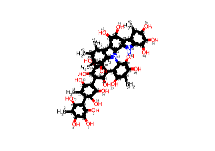 Bc1c(O)c(O)c(O)c(-c2c(B)c(O)c(-c3c(O)c(O)c(B)c(-c4c(O)c(B)c(O)c(O)c4-n4c5c(O)c(B)c(B)c(B)c5c5c(O)c(O)c6c([nH]c7c(O)c(O)c(O)c(B)c76)c54)c3O)c(O)c2O)c1O